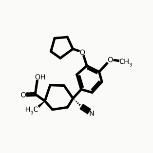 COc1ccc([C@]2(C#N)CC[C@@](C)(C(=O)O)CC2)cc1OC1CCCC1